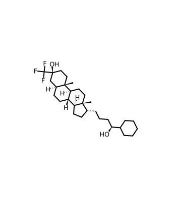 C[C@]12CC[C@@](O)(C(F)(F)F)C[C@@H]1CC[C@@H]1[C@@H]2CC[C@]2(C)[C@H](CCC[C@H](O)C3CCCCC3)CC[C@@H]12